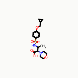 CC(NS(=O)(=O)c1ccc(OCC2CC2)cc1)C(C(=O)O)N1CCOCC1